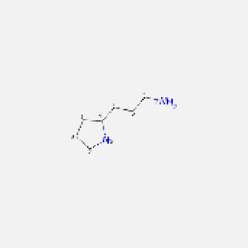 NCCCC1CCC[N]1